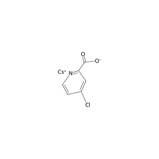 O=C([O-])c1cc(Cl)ccn1.[Cs+]